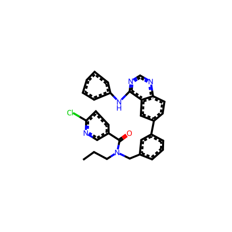 CCCN(Cc1cccc(-c2ccc3ncnc(Nc4ccccc4)c3c2)c1)C(=O)c1ccc(Cl)nc1